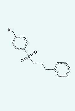 O=S(=O)(CCCc1ccccc1)c1ccc(Br)cc1